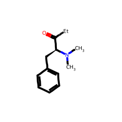 CCC(=O)[C@H](Cc1ccccc1)N(C)C